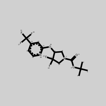 CC(C)(C)OC(=O)N1CC(Oc2cc(C(F)(F)F)ccn2)C(F)(F)C1